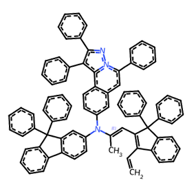 C=CC1=C(/C=C(\C)N(c2ccc3c(c2)C(c2ccccc2)(c2ccccc2)c2ccccc2-3)c2ccc3c(c2)cc(-c2ccccc2)n2nc(-c4ccccc4)c(-c4ccccc4)c32)C(c2ccccc2)(c2ccccc2)c2ccccc21